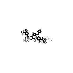 C[C@@H]1Cc2c(n3ncc(Cc4ccccc4)c3n(-c3ccc(-c4nn(C)c(=O)[nH]4)cc3)c2=O)CN1C(=O)c1ccc(Br)c(C(F)(F)F)c1